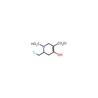 CCOC(=O)C1=C(O)CC(CF)N(C(=O)O)C1